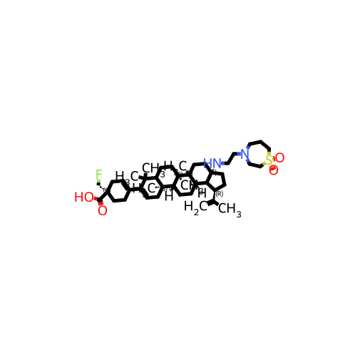 C=C(C)[C@@H]1CC[C@]2(NCCN3CCCS(=O)(=O)CC3)CC[C@]3(C)[C@H](CC[C@@H]4[C@@]5(C)CC=C(C6=CC[C@](CF)(C(=O)O)CC6)C(C)(C)C5CC[C@]43C)C12